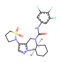 O=C(Nc1cc(F)c(F)c(F)c1)N1Cc2c(N3CCCS3(=O)=O)cnn2[C@@H]2CCCC[C@@H]21